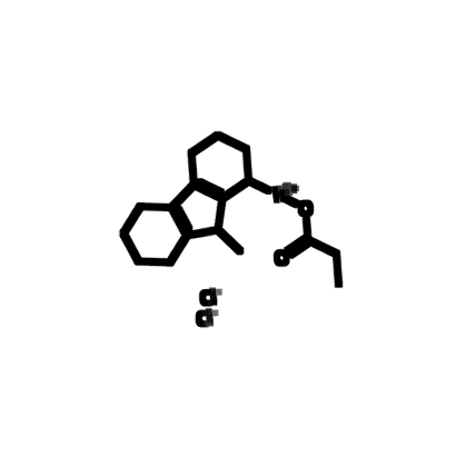 CCC(=O)[O][Ti+2][CH]1CCCC2=C1C(C)C1=C2CCCC1.[Cl-].[Cl-]